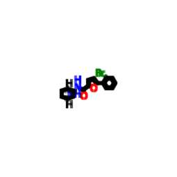 O=C(N[C@@H]1C[C@H]2CC[C@@H]1N2)c1ccc(-c2ccccc2Br)o1